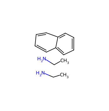 CCN.CCN.c1ccc2ccccc2c1